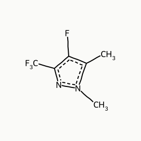 Cc1c(F)c(C(F)(F)F)nn1C